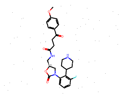 COc1ccc(C(=O)CCC(=O)NC[C@H]2CN(c3cccc(F)c3C3CCNCC3)C(=O)O2)cc1